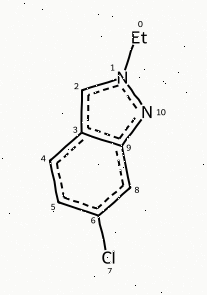 CCn1cc2ccc(Cl)cc2n1